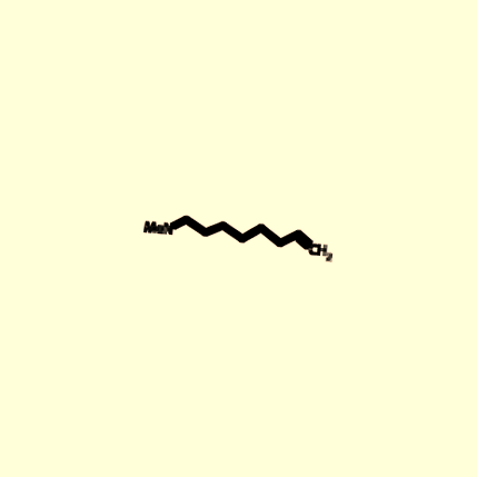 C=CCCCCCCNC